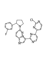 Fc1cccc(C2CCCN2c2ccc3ncc(-c4nccc(-c5ccnc(Cl)n5)n4)n3n2)c1